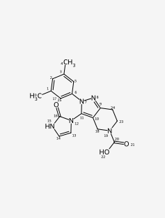 Cc1cc(C)cc(-n2nc3c(c2-n2cc[nH]c2=O)CN(C(=O)O)CC3)c1